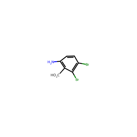 Nc1ccc(Br)c(Br)c1C(=O)O